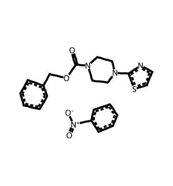 O=C(OCc1ccccc1)N1CCN(c2nccs2)CC1.O=[N+]([O-])c1ccccc1